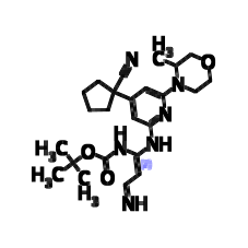 CC1COCCN1c1cc(C2(C#N)CCCC2)cc(N/C(=C/C=N)NC(=O)OC(C)(C)C)n1